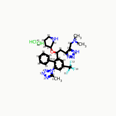 Cc1nnnn1-c1cc(C(F)(F)F)cc(C(Cc2nn[nH]c2CN(C)C)OC2CCCNC2)c1-c1ccccc1.Cl.Cl